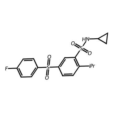 CC(C)c1ccc(S(=O)(=O)c2ccc(F)cc2)cc1S(=O)(=O)NC1CC1